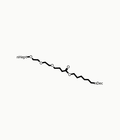 CCCCCCCCCCCCCCCCOC(=O)CCCOCCOCCOCCCCCCC